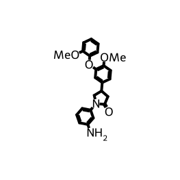 COc1ccccc1Oc1cc(C2CC(=O)N(c3cccc(N)c3)C2)ccc1OC